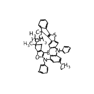 Cc1cc2c3c(c1)N(c1ccccc1)c1oc4c(c1B3c1cc3c5c(sc3cc1N2c1ccccc1)-c1ccccc1C5(C)C)CC(C)(C)C4